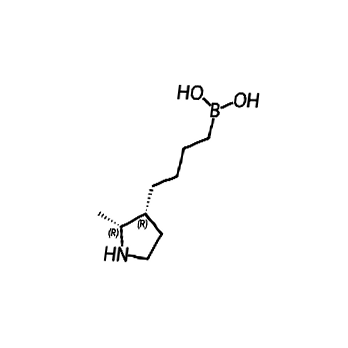 C[C@H]1NCC[C@H]1CCCCB(O)O